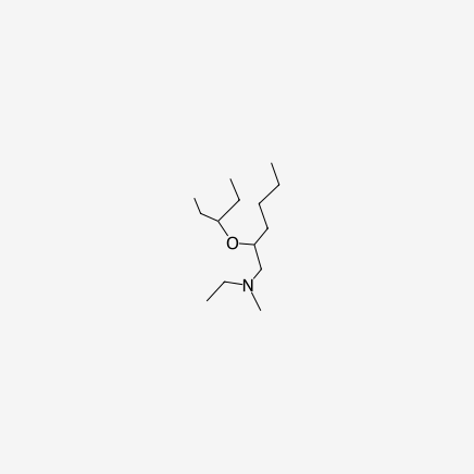 CCCCC(CN(C)CC)OC(CC)CC